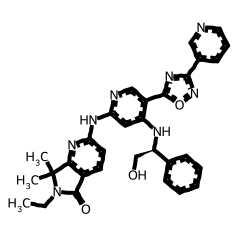 CCN1C(=O)c2ccc(Nc3cc(N[C@H](CO)c4ccccc4)c(-c4nc(-c5cccnc5)no4)cn3)nc2C1(C)C